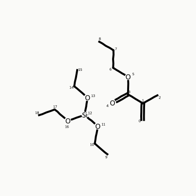 C=C(C)C(=O)OCCC.CCO[Si](OCC)OCC